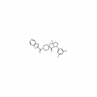 O=C(c1nc2cnccc2s1)N1CCC2(CC1)O[C@@H]1CC[C@@H](c3cc(F)cc(F)c3)N1C2=O